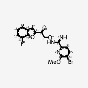 COc1nc(C(=N)NOCC(=O)c2cc3cccc(F)c3o2)ccc1Br